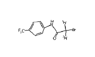 [2H]C([2H])(Br)C(=O)Nc1ccc(C(F)(F)F)cc1